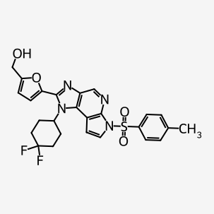 Cc1ccc(S(=O)(=O)n2ccc3c2ncc2nc(-c4ccc(CO)o4)n(C4CCC(F)(F)CC4)c23)cc1